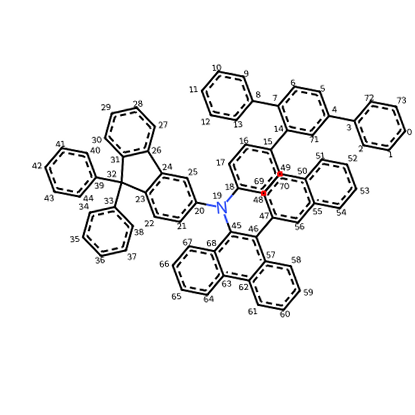 c1ccc(-c2ccc(-c3ccccc3)c(-c3ccc(N(c4ccc5c(c4)-c4ccccc4C5(c4ccccc4)c4ccccc4)c4c(-c5ccc6ccccc6c5)c5ccccc5c5ccccc45)cc3)c2)cc1